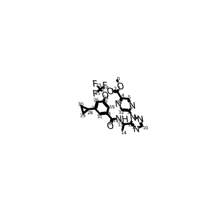 COC(=O)c1cnc(-n2ncnc2C(C)NC(=O)c2cc(OC(F)(F)F)cc(C3CC3)c2)cn1